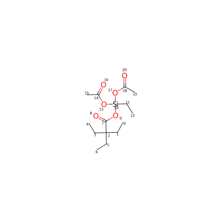 CCC(CC)(CC)C(=O)O[Si](CC)(OC(C)=O)OC(C)=O